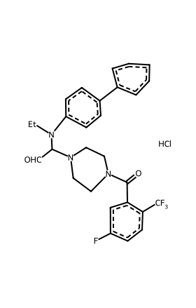 CCN(c1ccc(-c2ccccc2)cc1)C(C=O)N1CCN(C(=O)c2cc(F)ccc2C(F)(F)F)CC1.Cl